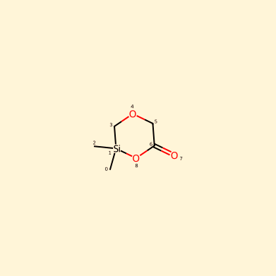 C[Si]1(C)COCC(=O)O1